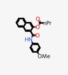 CCCC(=O)Oc1cc2ccccc2cc1C(=O)Nc1ccc(OC)cc1